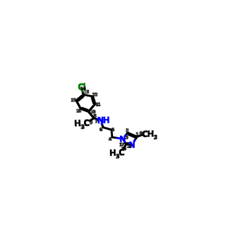 Cc1cn(CCCNC(C)c2ccc(Cl)cc2)c(C)n1